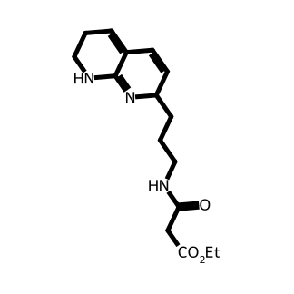 CCOC(=O)CC(=O)NCCCC1C=CC2=CCCNC2=N1